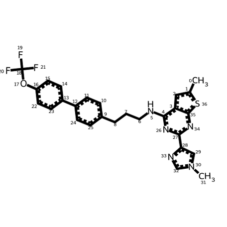 Cc1cc2c(NCCCc3ccc(-c4ccc(OC(F)(F)F)cc4)cc3)nc(-c3cn(C)cn3)nc2s1